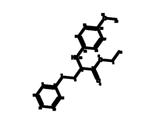 CCOC(=O)C(CCc1ccccc1)Nc1ccc(OC)cc1